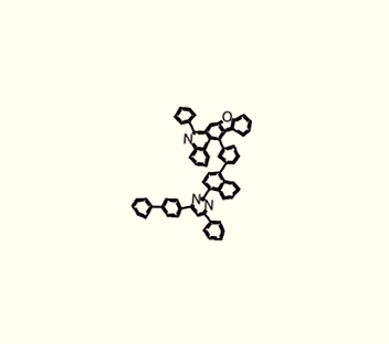 c1ccc(-c2ccc(-c3cc(-c4ccccc4)nc(-c4ccc(-c5cccc(-c6c7c(cc8c(-c9ccccc9)nc9ccccc9c68)oc6ccccc67)c5)c5ccccc45)n3)cc2)cc1